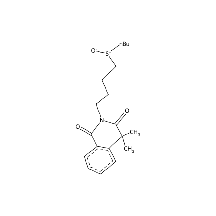 CCCC[S+]([O-])CCCCN1C(=O)c2ccccc2C(C)(C)C1=O